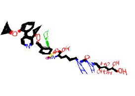 O=C(NCCCCC(NS(=O)(=O)c1ccc(COC2(c3cnccc3-c3ccccc3OC3CC3)CC2)c(Cl)c1)C(=O)O)NC[C@H](O)[C@@H](O)[C@H](O)[C@H](O)CO